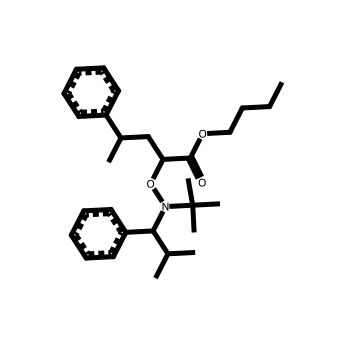 CCCCOC(=O)C(CC(C)c1ccccc1)ON(C(c1ccccc1)C(C)C)C(C)(C)C